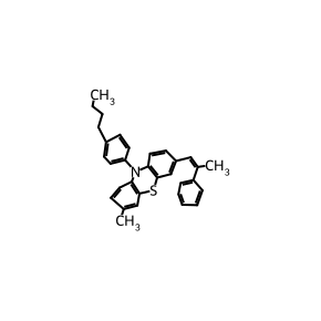 CCCCc1ccc(N2c3ccc(C)cc3Sc3cc(C=C(C)c4ccccc4)ccc32)cc1